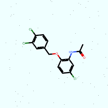 CC(=O)Nc1cc(Cl)ccc1OCc1ccc(Cl)c(Cl)c1